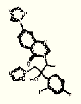 CC(n1cnc2cc(-n3cncn3)ccc2c1=O)C(O)(Cn1cncn1)c1ccc(F)cc1F